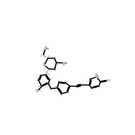 O=c1ccc(C#Cc2ccc(Cc3cc([C@H]4CC(O)C[C@@H](CO)O4)ccc3Cl)cc2)c[nH]1